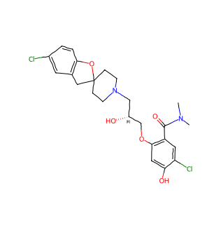 CN(C)C(=O)c1cc(Cl)c(O)cc1OC[C@H](O)CN1CCC2(CC1)Cc1cc(Cl)ccc1O2